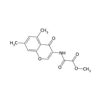 COC(=O)C(=O)Nc1coc2cc(C)cc(C)c2c1=O